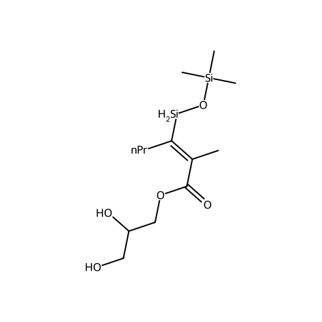 CCCC([SiH2]O[Si](C)(C)C)=C(C)C(=O)OCC(O)CO